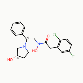 O=C(Cc1cc(Cl)ccc1Cl)N(O)C[C@@H](c1ccccc1)N1CC[C@H](O)C1